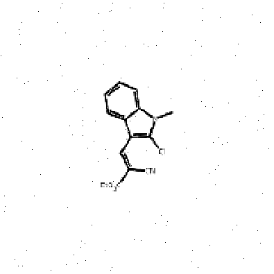 CCOC(=O)C(C#N)=Cc1c(Cl)n(C)c2ccccc12